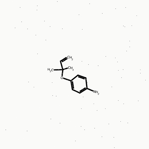 C=CC(C)(C)Oc1ccc(N)cc1